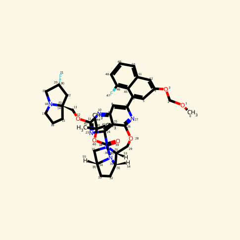 COCOc1cc(-c2cc3nc(OC[C@@]45CCCN4C[C@H](F)C5)nc4c3c(n2)OC[C@@H]2[C@@H]3CC[C@H](CN42)N3C(=O)OC(C)(C)C)c2c(F)cccc2c1